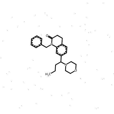 CCCC(c1ccc2c(c1)N(Cc1ccccc1)C(=O)CC2)N1CCOCC1